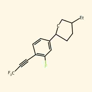 CCC1CCC(c2ccc(C#CC(F)(F)F)c(F)c2)CC1